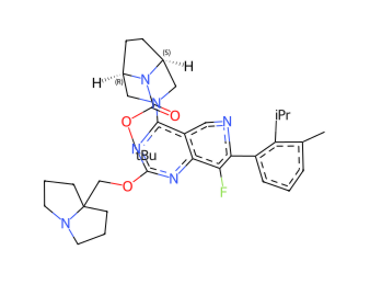 Cc1cccc(-c2ncc3c(N4C[C@H]5CC[C@@H](C4)N5C(=O)OC(C)(C)C)nc(OCC45CCCN4CCC5)nc3c2F)c1C(C)C